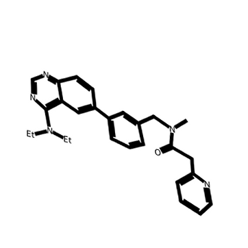 CCN(CC)c1ncnc2ccc(-c3cccc(CN(C)C(=O)Cc4ccccn4)c3)cc12